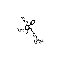 CCc1c(OCOC)cc(OCOC)c(-c2ccccc2)c1CCCOCC(=O)NC